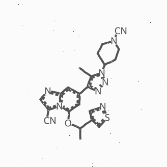 Cc1c(-c2cc(OC(C)c3cnsc3)n3c(C#N)cnc3c2)nnn1C1CCN(C#N)CC1